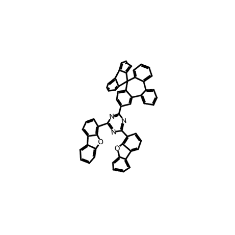 c1ccc2c(c1)-c1ccccc1C1(c3ccc(-c4nc(-c5cccc6c5oc5ccccc56)nc(-c5cccc6c5oc5ccccc56)n4)cc3-2)c2ccccc2-c2ccccc21